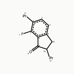 CC(C)c1ccc2c(c1F)C(=O)C(C(C)C)C2